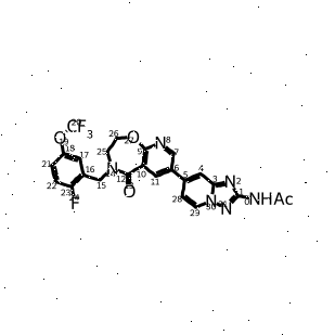 CC(=O)Nc1nc2cc(-c3cnc4c(c3)C(=O)N(Cc3cc(OC(F)(F)F)ccc3F)CCO4)ccn2n1